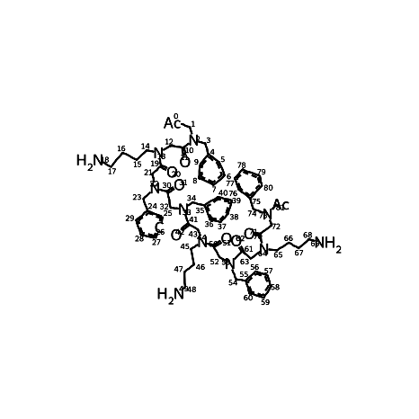 CC(=O)CN(Cc1ccccc1)C(=O)CN(CCCCN)C(=O)CN(Cc1ccccc1)C(=O)CN(Cc1ccccc1)C(=O)CN(CCCCN)C(=O)CN(Cc1ccccc1)C(=O)CN(CCCCN)C(=O)CN(Cc1ccccc1)C(C)=O